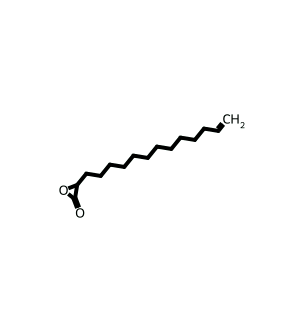 C=CCCCCCCCCCCCC1OC1=O